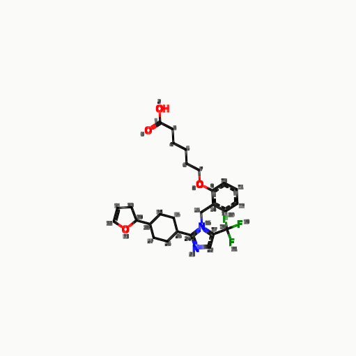 O=C(O)CCCCCOc1ccccc1Cn1c(C(F)(F)F)cnc1C1CCC(C2CC=CO2)CC1